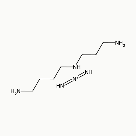 N=[N+]=N.NCCCCNCCCN